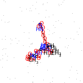 CC[C@@]1(O)C(=O)OCc2c1cc1n(c2=O)Cc2c-1nc1cc3c(cc1c2CNC(=O)OCc1ccc(NC(=O)[C@H](CCCNC(=O)OC(C)(C)C)NC(=O)[C@@H](NC(=O)CCOCCOCCOCCOCCNC(=O)CCN2C(=O)C=CC2=O)C(C)C)cc1)OCO3